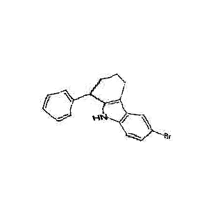 Brc1ccc2[nH]c3c(c2c1)CCCC3c1ccccc1